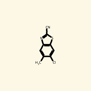 Cc1cc2nc(C#N)sc2cc1Cl